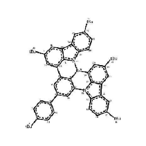 CC(C)(C)c1ccc(-c2cc3c4c(c2)-n2c5ccc(C(C)(C)C)cc5c5cc(C(C)(C)C)cc(c52)B4n2c4ccc(C(C)(C)C)cc4c4cc(C(C)(C)C)cc-3c42)cc1